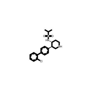 CC(C)S(=O)(=O)N[C@@H]1CCNC[C@H]1c1ccc(-c2ccccc2Cl)cc1